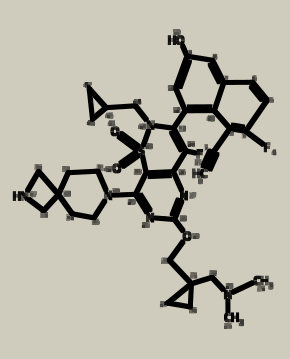 C#Cc1c(F)ccc2cc(O)cc(C3=C(F)c4nc(OCC5(CN(C)C)CC5)nc(N5CCC6(CC5)CNC6)c4S(=O)(=O)N3CC3CC3)c12